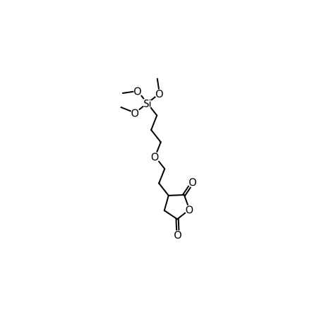 CO[Si](CCCOCCC1CC(=O)OC1=O)(OC)OC